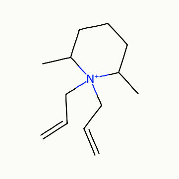 C=CC[N+]1(CC=C)C(C)CCCC1C